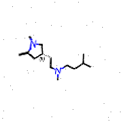 C=C1C[C@@H](CCN(C)CCC(C)C)CN1C